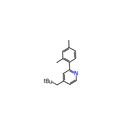 Cc1ccc(-c2cc(CC(C)(C)C)ccn2)c(C)c1